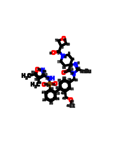 CCCCC1=NC2(CCN(C(=O)C3COC3)CC2)C(=O)N1Cc1ccc(-c2ccccc2S(=O)(=O)Nc2noc(C)c2C)c(COCC)c1